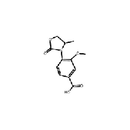 COc1cc(C(=O)O)ccc1N1C(=O)OCC1C